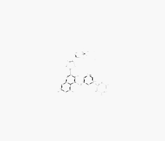 Cc1c(C2CN[C@H](C(=O)OC(C)(C)C)C2)nc2cc(F)cc(F)c2c1Nc1cncc(N2CCOCC2)c1